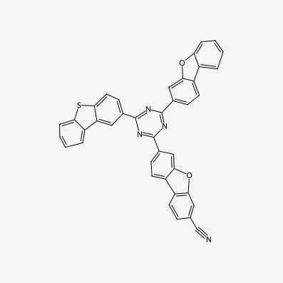 N#Cc1ccc2c(c1)oc1cc(-c3nc(-c4ccc5c(c4)oc4ccccc45)nc(-c4ccc5sc6ccccc6c5c4)n3)ccc12